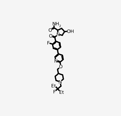 CCC(F)(CC)CN1CCC(COc2ccc(-c3ccc(C(=O)N4CC(O)CC4C(N)=O)c(F)c3)cn2)CC1